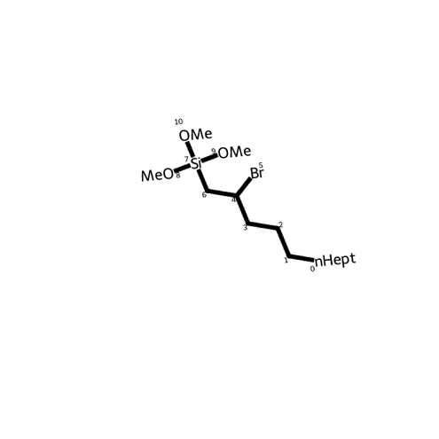 CCCCCCCCCCC(Br)C[Si](OC)(OC)OC